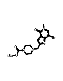 Cn1cc(Br)c2sc(CN3CCN(C(=O)OC(C)(C)C)CC3)cc2c1=O